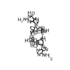 CO[C@H]1[C@H]2O[P@](=O)(S)OC[C@H]3C[C@@H](n4cnc5c(N)ncnc54)[C@H](O)[C@@H]3O[P@@](=O)(S)OC[C@H]1O[C@H]2n1cnc2c(=O)[nH]c(N)nc21